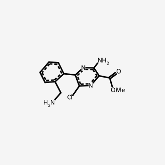 COC(=O)c1nc(Cl)c(-c2ccccc2CN)nc1N